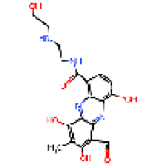 Cc1c(O)c(C=O)c2nc3c(O)ccc(C(=O)NCCNCCO)c3nc2c1O